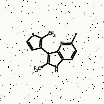 Fc1ccc2[nH]c(C(F)(F)F)c(-c3ccsc3C(F)(F)F)c2n1